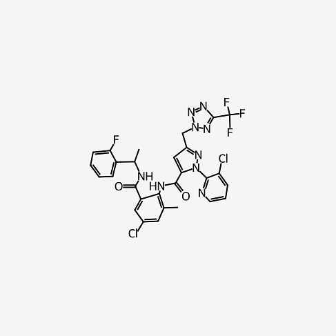 Cc1cc(Cl)cc(C(=O)NC(C)c2ccccc2F)c1NC(=O)c1cc(Cn2nnc(C(F)(F)F)n2)nn1-c1ncccc1Cl